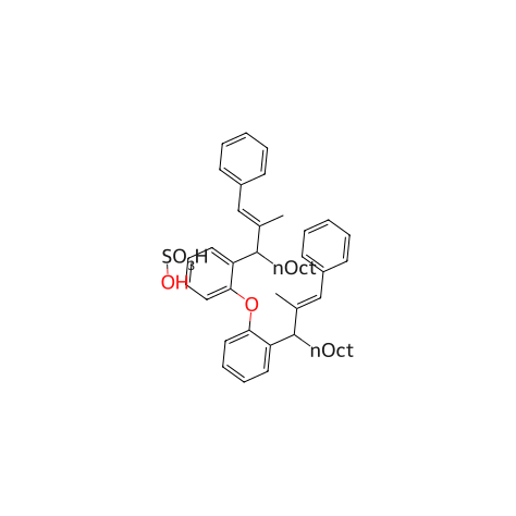 CCCCCCCCC(C(C)=Cc1ccccc1)c1ccccc1Oc1ccccc1C(CCCCCCCC)C(C)=Cc1ccccc1.O=S(=O)(O)O